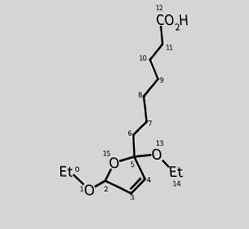 CCOC1C=CC(CCCCCCC(=O)O)(OCC)O1